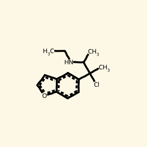 CCNC(C)C(C)(Cl)c1ccc2occc2c1